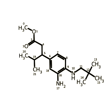 COC(=O)CC(c1ccc(NCC(C)(C)C)c(N)c1)C(C)C